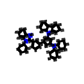 c1ccc(-n2c(-c3cccc(-c4cc(-n5c6ccccc6c6ccccc65)cc(-n5c6ccccc6c6ccccc65)c4)c3)nc3ccccc32)cc1